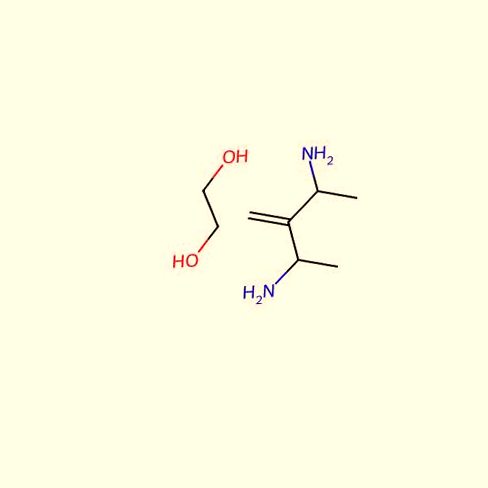 C=C(C(C)N)C(C)N.OCCO